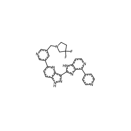 FC1(F)CCN(Cc2cncc(-c3ccc4[nH]nc(-c5nc6c(-c7ccncc7)nccc6[nH]5)c4n3)c2)C1